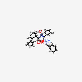 O=C(NCc1ccccc1)C1c2ccccc2C(=O)N1C(c1ccccc1)[C@H](O)c1ccccc1